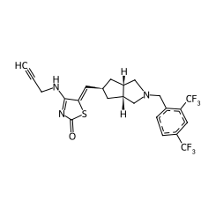 C#CCNC1=NC(=O)S/C1=C\[C@H]1C[C@@H]2CN(Cc3ccc(C(F)(F)F)cc3C(F)(F)F)C[C@@H]2C1